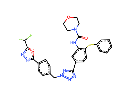 O=C(Nc1cc(-c2nnn(Cc3ccc(-c4nnc(C(F)F)o4)cc3)n2)ccc1Sc1ccccc1)N1CCOCC1